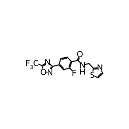 O=C(NCc1nccs1)c1ccc(-c2noc(C(F)(F)F)n2)cc1F